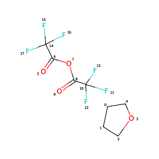 C1CCOC1.O=C(OC(=O)C(F)(F)F)C(F)(F)F